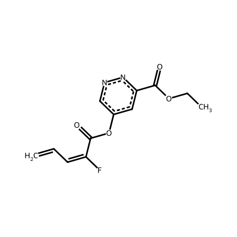 C=C/C=C(/F)C(=O)Oc1cnnc(C(=O)OCC)c1